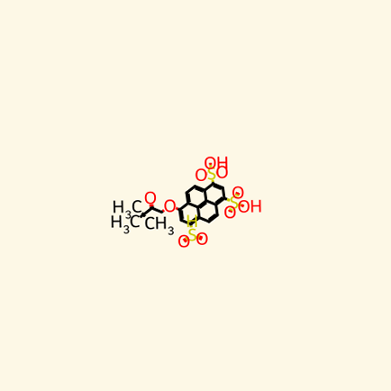 CC(C)(C)C(=O)COc1cc([SH](=O)=O)c2ccc3c(S(=O)(=O)O)cc(S(=O)(=O)O)c4ccc1c2c43